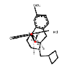 COc1ccc2c(c1)[C@]13CCN(CC4CCC4)[C@H](C2)[C@@H]1[C@@H](C)CC(=O)C3.Cl